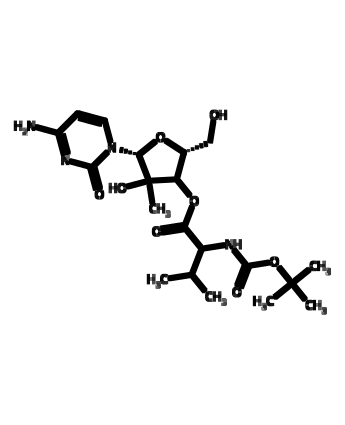 CC(C)C(NC(=O)OC(C)(C)C)C(=O)OC1[C@@H](CO)O[C@@H](n2ccc(N)nc2=O)C1(C)O